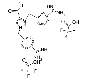 COC(=O)c1cn(Cc2ccc(C(=N)N)cc2)cc1Cc1cccc(C(=N)N)c1.O=C(O)C(F)(F)F.O=C(O)C(F)(F)F